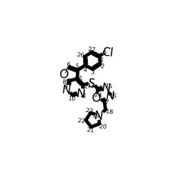 Clc1ccc(-c2coc3ncnc(Sc4nnc(CN5CCCC5)o4)c23)cc1